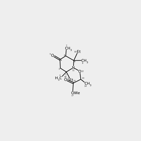 CCC1(C)CC(=O)C(C)C(C)(CC)N1OC(C)C(=O)OC